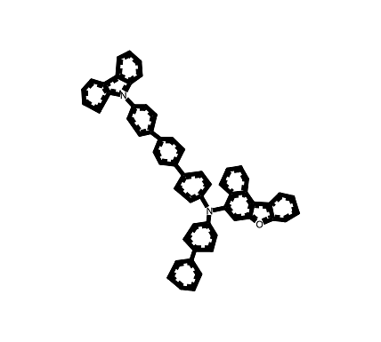 c1ccc(-c2ccc(N(c3ccc(-c4ccc(-c5ccc(-n6c7ccccc7c7ccccc76)cc5)cc4)cc3)c3cc4oc5ccccc5c4c4ccccc34)cc2)cc1